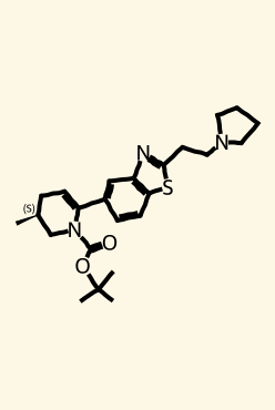 C[C@H]1CC=C(c2ccc3sc(CCN4CCCC4)nc3c2)N(C(=O)OC(C)(C)C)C1